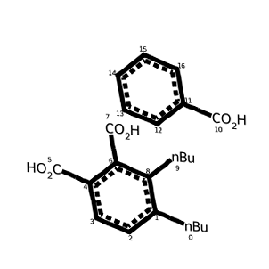 CCCCc1ccc(C(=O)O)c(C(=O)O)c1CCCC.O=C(O)c1ccccc1